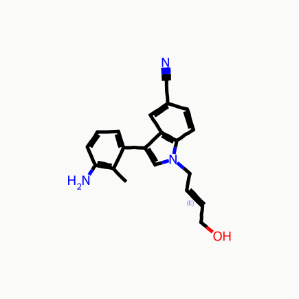 Cc1c(N)cccc1-c1cn(C/C=C/CO)c2ccc(C#N)cc12